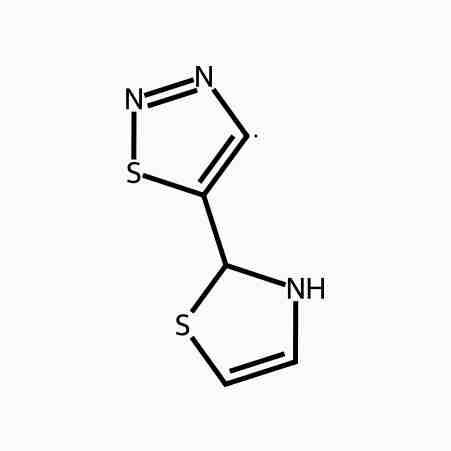 [c]1nnsc1C1NC=CS1